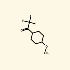 COC1CCC(C(=O)C(F)(F)F)CC1